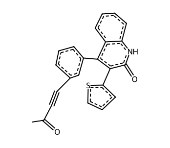 CC(=O)C#Cc1cccc(-c2c(-c3cccs3)c(=O)[nH]c3ccccc23)c1